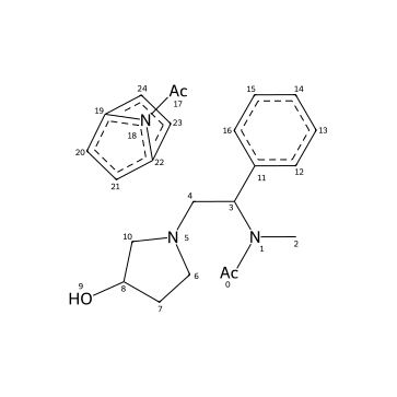 CC(=O)N(C)C(CN1CCC(O)C1)c1ccccc1.CC(=O)n1c2ccc1cc2